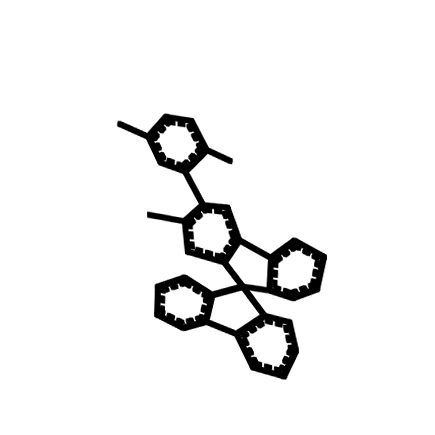 Cc1ccc(C)c(-c2cc3c(cc2C)C2(c4ccccc4-c4ccccc42)c2ccccc2-3)c1